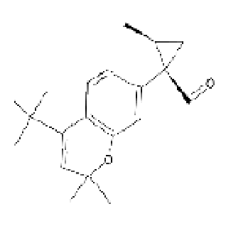 C[C@H]1C[C@]1(C=O)c1ccc2c(c1)OC(C)(C)C=C2C(C)(C)C